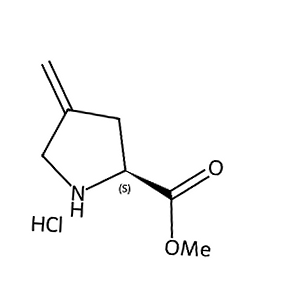 C=C1CN[C@H](C(=O)OC)C1.Cl